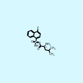 CC(C)C[C@H](N)C(=O)N=S(N)(=O)c1ccc(F)c2ccccc12